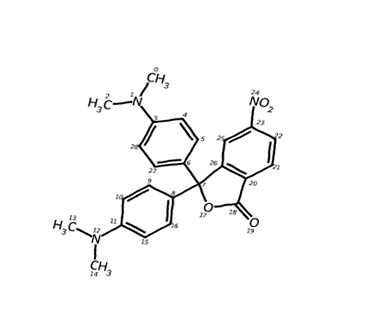 CN(C)c1ccc(C2(c3ccc(N(C)C)cc3)OC(=O)c3ccc([N+](=O)[O-])cc32)cc1